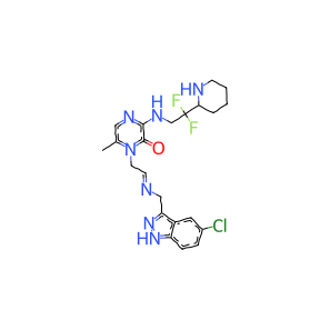 Cc1cnc(NCC(F)(F)C2CCCCN2)c(=O)n1C/C=N/Cc1n[nH]c2ccc(Cl)cc12